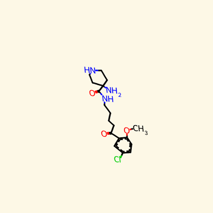 COc1ccc(Cl)cc1C(=O)CCCCNC(=O)C1(N)CCNCC1